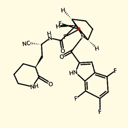 N#C[C@@H](C[C@@H]1CCCNC1=O)NC(=O)[C@@H]1[C@H]2CC[C@H](CC2(F)F)N1C(=O)c1cc2c(F)cc(F)c(F)c2[nH]1